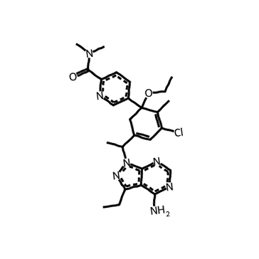 CCOC1(c2ccc(C(=O)N(C)C)nc2)CC(C(C)n2nc(CC)c3c(N)ncnc32)=CC(Cl)=C1C